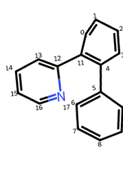 [c]1cccc(-c2ccccc2)c1-c1ccccn1